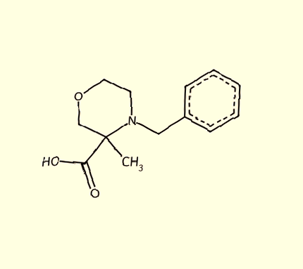 CC1(C(=O)O)COCCN1Cc1ccccc1